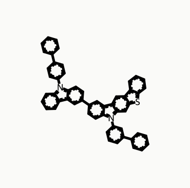 c1ccc(-c2ccc(-n3c4ccccc4c4cc(-c5ccc6c(c5)c5cc7c(cc5n6-c5cccc(-c6ccccc6)c5)sc5ccccc57)ccc43)cc2)cc1